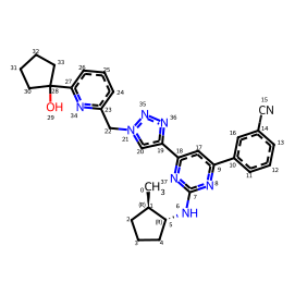 C[C@@H]1CCC[C@H]1Nc1nc(-c2cccc(C#N)c2)cc(-c2cn(Cc3cccc(C4(O)CCCC4)n3)nn2)n1